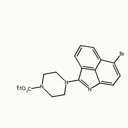 CCOC(=O)N1CCN(C2=Nc3ccc(Br)c4cccc2c34)CC1